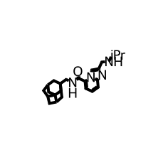 CC(C)NCc1cn2c(C(=O)NCC34CC5CC6CC(C3)C6(C5)C4)cccc2n1